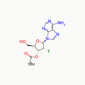 CC(C)(C)C(=O)O[C@H]1[C@@H](F)[C@H](n2cnc3c(N)ncnc32)O[C@@H]1CO